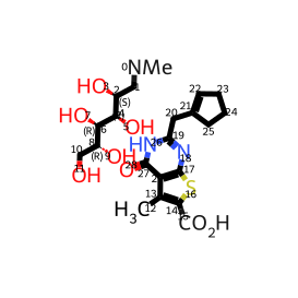 CNC[C@H](O)[C@@H](O)[C@H](O)[C@H](O)CO.Cc1c(C(=O)O)sc2nc(CC3=CCCC3)[nH]c(=O)c12